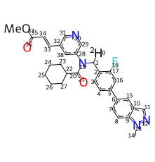 [2H]C(c1ccc(-c2ccc3c(cnn3C)c2)cc1F)N(C(=O)C1CCCCC1)c1cncc(/C=C/C(=O)OC)c1